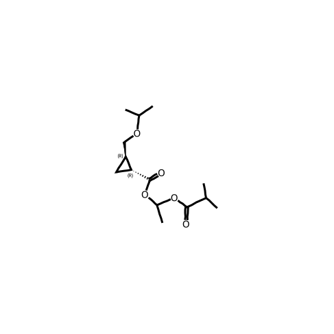 CC(C)OC[C@@H]1C[C@H]1C(=O)OC(C)OC(=O)C(C)C